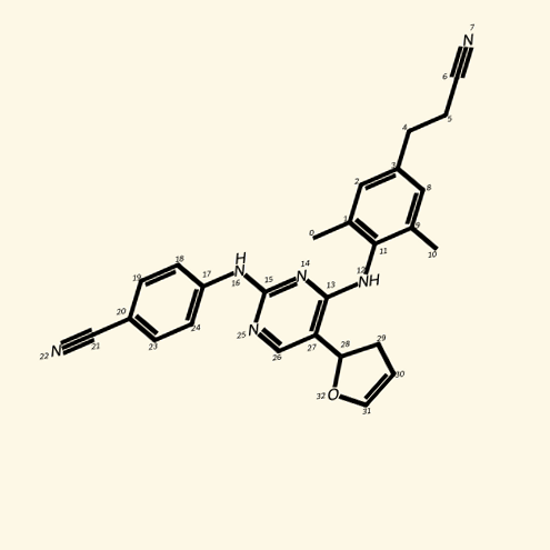 Cc1cc(CCC#N)cc(C)c1Nc1nc(Nc2ccc(C#N)cc2)ncc1C1CC=CO1